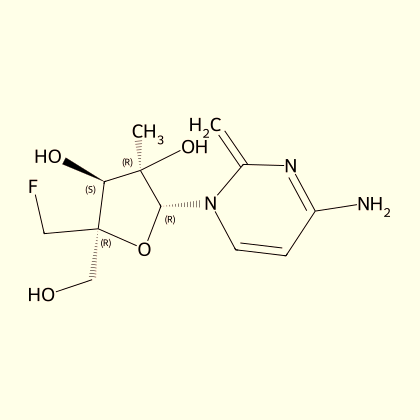 C=C1N=C(N)C=CN1[C@@H]1O[C@@](CO)(CF)[C@@H](O)[C@@]1(C)O